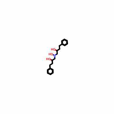 OC(CCc1ccccc1)CN(O)CC(O)CCc1ccccc1